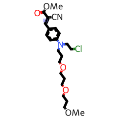 COCCCOCCCOCCCN(CCCl)c1ccc(/C=C(\C#N)C(=O)OC)cc1